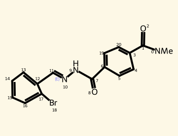 CNC(=O)c1ccc(C(=O)N/N=C/c2ccccc2Br)cc1